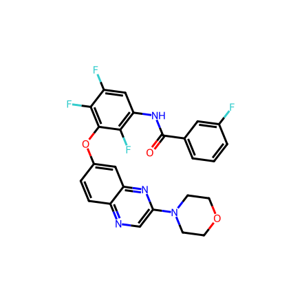 O=C(Nc1cc(F)c(F)c(Oc2ccc3ncc(N4CCOCC4)nc3c2)c1F)c1cccc(F)c1